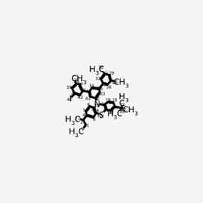 CCC(C)c1ccc2c(c1)Sc1cc(C(C)(C)C)ccc1N2c1cc(-c2cc(C)cc(C)c2)cc(-c2cc(C)cc(I)c2)c1